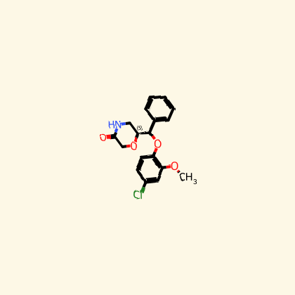 COc1cc(Cl)ccc1OC(c1ccccc1)[C@@H]1CNC(=O)CO1